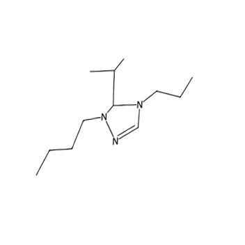 CCCCN1N=CN(CCC)C1C(C)C